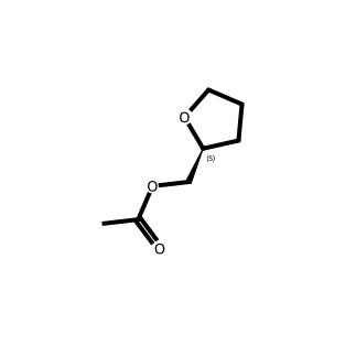 CC(=O)OC[C@@H]1CCCO1